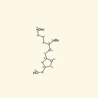 CCCCCCCCCCCCCC(CCCC)OCC1CC(CO)CO1